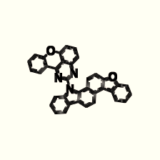 c1ccc2c(c1)Oc1cccc3nc(-n4c5ccccc5c5ccc6c(ccc7oc8ccccc8c76)c54)nc-2c13